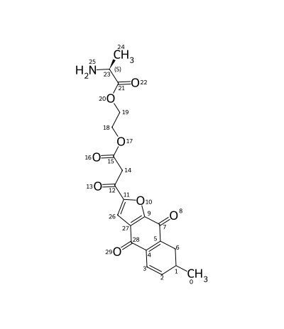 CC1C=CC2=C(C1)C(=O)c1oc(C(=O)CC(=O)OCCOC(=O)[C@H](C)N)cc1C2=O